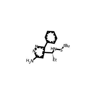 CC[C@@H](NSC(C)(C)C)c1cc(N)nnc1-c1ccccc1